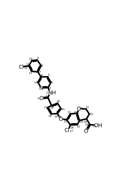 O=C(Nc1ccc(-c2cccc(Cl)c2)cn1)c1ccc(Oc2cc3c(cc2Cl)C(C(=O)O)CCO3)cc1